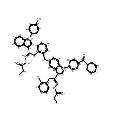 CCC(=O)O/N=C(\Cc1ccccc1C)c1cn(-c2ccc(C(=O)c3ccccc3)cc2)c2ccc(Cc3ccccc3C/C(=N\OC(=O)CC)c3cn(-c4ccc(F)cc4)c4ccccc34)cc12